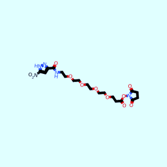 O=C(CCOCCOCCOCCOCCNC(=O)c1cc([N+](=O)[O-])[nH]n1)ON1C(=O)CCC1=O